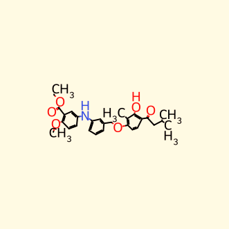 CCOC(=O)c1cc(Nc2cccc(COc3ccc(C(=O)CC(C)C)c(O)c3C)c2)ccc1OC